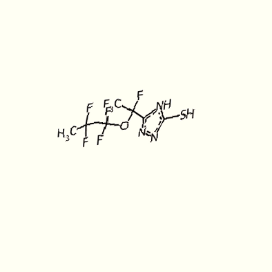 CC(F)(F)C(F)(F)OC(F)(c1nnc(S)[nH]1)C(F)(F)F